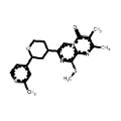 CSc1nc(C2CCOC(c3ccnc(C)c3)C2)cn2c(=O)c(C)c(C)nc12